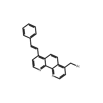 CC(=O)Cc1ccnc2c1ccc1c(C=Cc3ccccc3)ccnc12